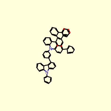 c1ccc(-c2ccc(N(c3cccc(-c4cccc5c4c4ccccc4n5-c4ccccc4)c3)c3ccccc3-c3cccc(-c4ccccc4)c3-c3ccccc3-c3ccccc3)cc2)cc1